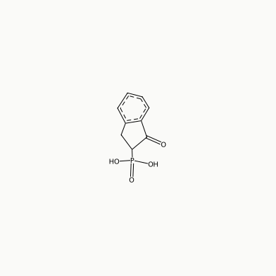 O=C1c2ccccc2CC1P(=O)(O)O